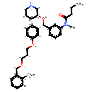 COCCC(=O)N(c1cccc(CO[C@H]2CNCC[C@@H]2c2ccc(OCCCOCc3ccccc3OC)cc2)c1)C(C)C